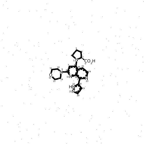 O=C(O)[C@@H]1CCCN1c1cc(N2CCOCC2)nc2c(-c3ccn[nH]3)nccc12